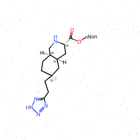 CCCCCCCCCOC(=O)[C@@H]1C[C@H]2C[C@@](F)(CCc3nn[nH]n3)CC[C@H]2CN1